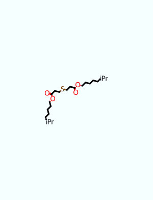 CC(C)CCCCCOC(=O)CCSCCC(=O)OCCCCCC(C)C